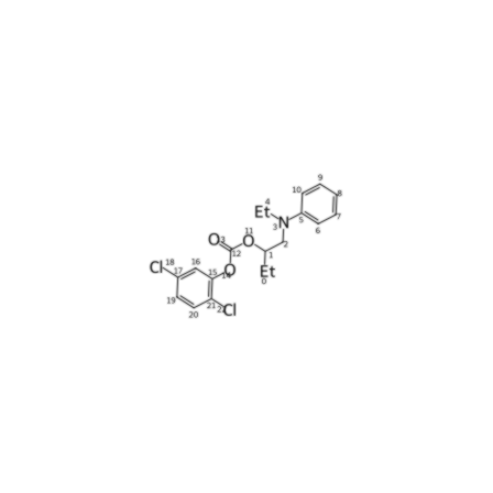 CCC(CN(CC)c1ccccc1)OC(=O)Oc1cc(Cl)ccc1Cl